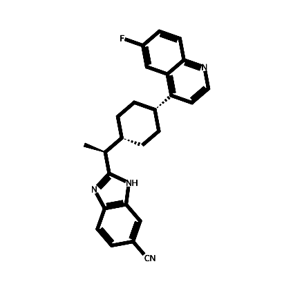 C[C@H](c1nc2ccc(C#N)cc2[nH]1)[C@H]1CC[C@@H](c2ccnc3ccc(F)cc32)CC1